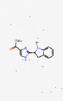 COC(=O)c1c[nH]c(C2Cc3ccccc3N2C(C)=O)n1